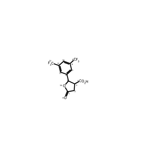 O=C1CC(C(=O)O)C(c2cc(C(F)(F)F)cc(C(F)(F)F)c2)O1